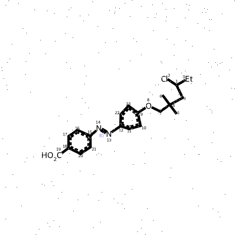 CCC(Cl)CC(C)(C)COc1ccc(/N=N/c2ccc(C(=O)O)cc2)cc1